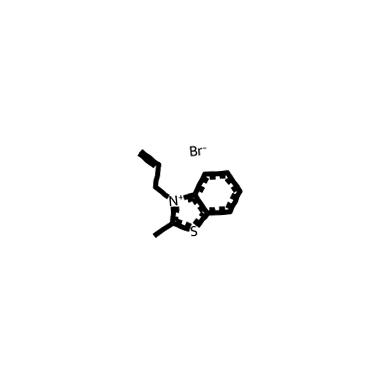 C=CC[n+]1c(C)sc2ccccc21.[Br-]